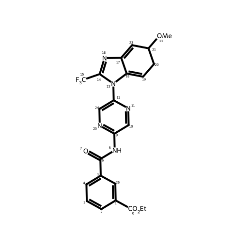 CCOC(=O)c1cccc(C(=O)Nc2cnc(-n3c(C(F)(F)F)nc4c3=CCC(OC)C=4)cn2)c1